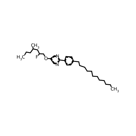 CCCCCCCCCCCCc1ccc(-c2ncc(OCC(F)CC(C)CCC)cn2)cc1